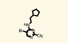 N#Cc1ncc(Br)c(NCCC2CCCC2)n1